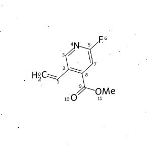 C=Cc1cnc(F)cc1C(=O)OC